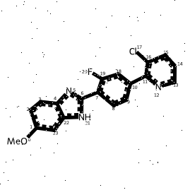 COc1ccc2nc(-c3ccc(-c4ncccc4Cl)cc3F)[nH]c2c1